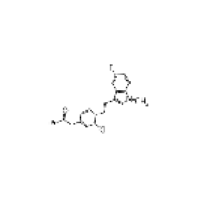 CC(C)C(=O)Cc1ccc(/C=C/c2cn(C)c3ccc(F)cc23)c(Cl)c1